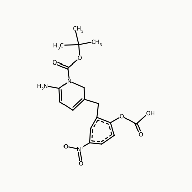 CC(C)(C)OC(=O)N1CC(Cc2cc([N+](=O)[O-])ccc2OC(=O)O)=CC=C1N